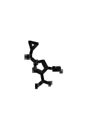 O=[N+]([O-])c1cn(PC2CC2)nc1C(F)F